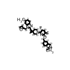 Cc1ccc2nc(C3CC34CCN(c3nc(OCc5ccc6c(cnn6C)c5)c(F)cc3F)CC4)n(CC3CCO3)c2c1